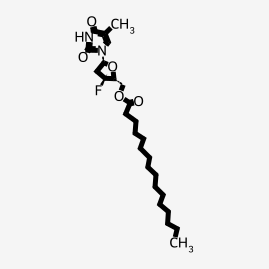 CCCCCCCCCCCCCCCC(=O)OC[C@H]1O[C@@H](n2cc(C)c(=O)[nH]c2=O)C[C@@H]1F